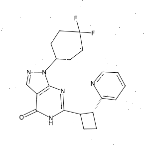 O=c1[nH]c(C2CC[C@H]2c2ccccn2)nc2c1cnn2C1CCC(F)(F)CC1